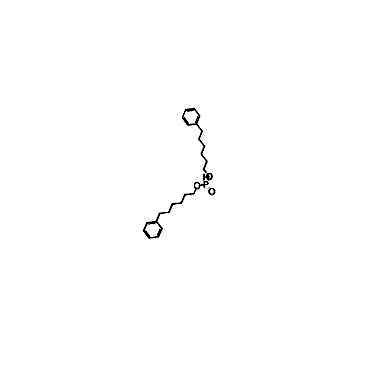 O=[PH](OCCCCCCc1ccccc1)OCCCCCCc1ccccc1